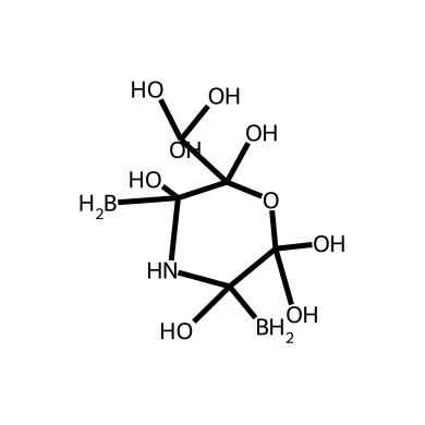 BC1(O)NC(B)(O)C(O)(C(O)(O)O)OC1(O)O